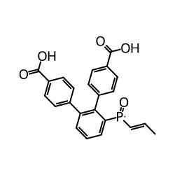 CC=C[P](=O)c1cccc(-c2ccc(C(=O)O)cc2)c1-c1ccc(C(=O)O)cc1